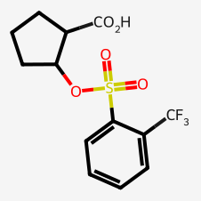 O=C(O)C1CCCC1OS(=O)(=O)c1ccccc1C(F)(F)F